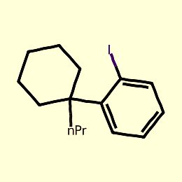 CCCC1(c2ccccc2I)CCCCC1